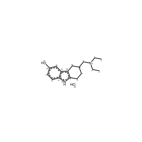 CCN(CC)CC1CCc2[nH]c3ccc(O)cc3c2C1.Cl